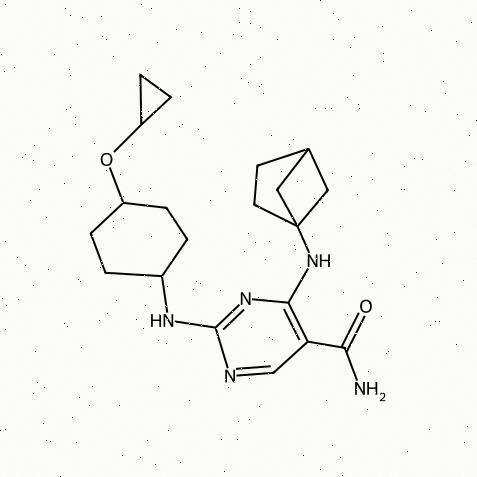 NC(=O)c1cnc(NC2CCC(OC3CC3)CC2)nc1NC12CCC(C1)C2